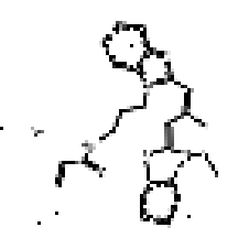 C=CC(=O)NCCC[n+]1c(C=C(C)C=C2Sc3ccccc3N2CC)sc2ccccc21.[Br-]